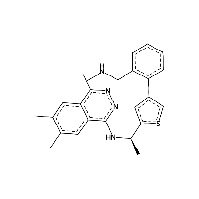 CNCc1ccccc1-c1csc([C@@H](C)Nc2nnc(C)c3cc(C)c(C)cc23)c1